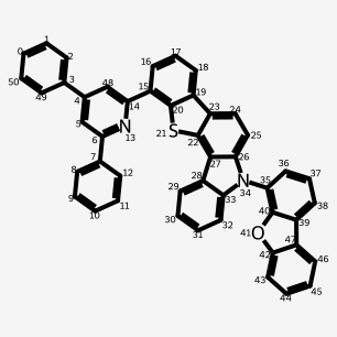 c1ccc(-c2cc(-c3ccccc3)nc(-c3cccc4c3sc3c4ccc4c3c3ccccc3n4-c3cccc4c3oc3ccccc34)c2)cc1